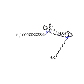 C=C=C=C=C=C=C=C=C=C=C=CN1/C(=C/C=C/C=C/C=C/C2=[N+](CCCCCCCCCCCC)c3ccccc3C2(C)C)C(C)(C)c2ccccc21